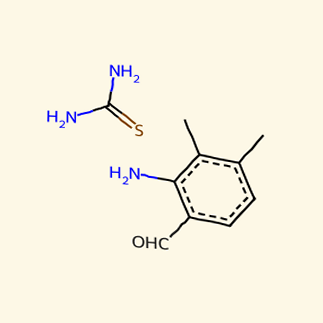 Cc1ccc(C=O)c(N)c1C.NC(N)=S